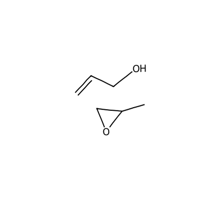 C=CCO.CC1CO1